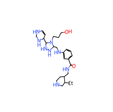 CCC1CNCCC1CNC(=O)c1cccc(NCC2NNC(C3C=CNCN3)N2CCCO)c1